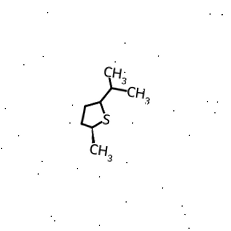 CC(C)C1CC[C@H](C)S1